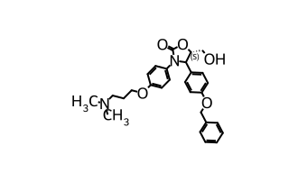 CN(C)CCCOc1ccc(N2C(=O)O[C@H](CO)C2c2ccc(OCc3ccccc3)cc2)cc1